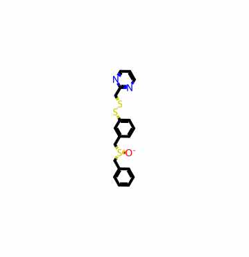 [O-][S+](Cc1ccccc1)Cc1cccc(SSCc2ncccn2)c1